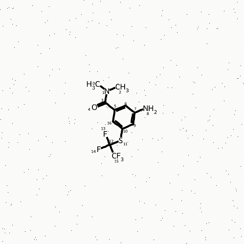 CN(C)C(=O)c1cc(N)cc(SC(F)(F)C(F)(F)F)c1